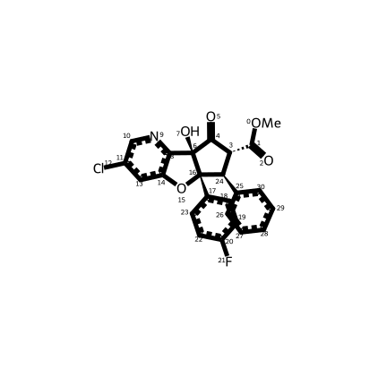 COC(=O)[C@H]1C(=O)[C@@]2(O)c3ncc(Cl)cc3O[C@@]2(c2ccc(F)cc2)[C@@H]1c1ccccc1